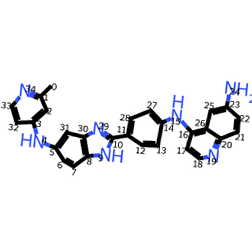 Cc1cc(Nc2ccc3[nH]c(-c4ccc(Nc5ccnc6ccc(N)cc56)cc4)nc3c2)ccn1